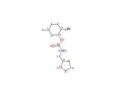 CC1CCC(C(C)C)C(OC(=O)NCC2CCCO2)C1